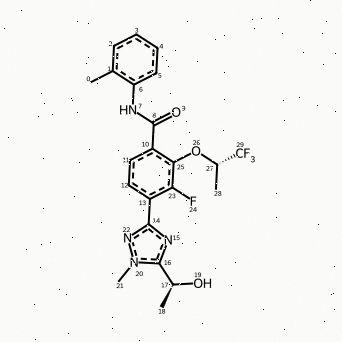 Cc1ccccc1NC(=O)c1ccc(-c2nc([C@H](C)O)n(C)n2)c(F)c1O[C@@H](C)C(F)(F)F